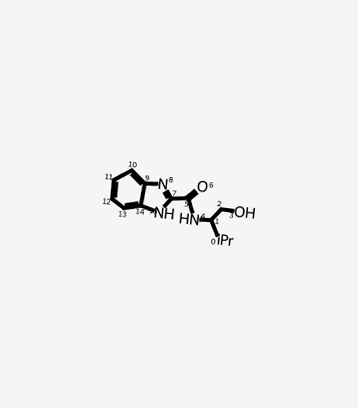 CC(C)C(CO)NC(=O)c1nc2ccccc2[nH]1